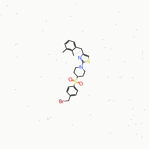 Cc1cccc(Cc2csc(N3CCC(S(=O)(=O)c4ccc(CBr)cc4)CC3)n2)c1C